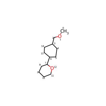 COCC1CCC(C2CCCCO2)CC1